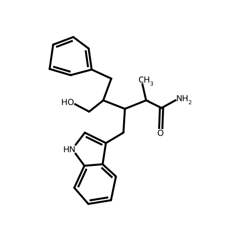 C[C](C(N)=O)C(Cc1c[nH]c2ccccc12)C(CO)Cc1ccccc1